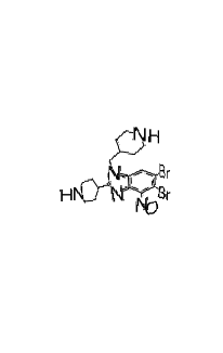 O=Nc1c(Br)c(Br)cc2c1nc(C1CCNCC1)n2CC1CCNCC1